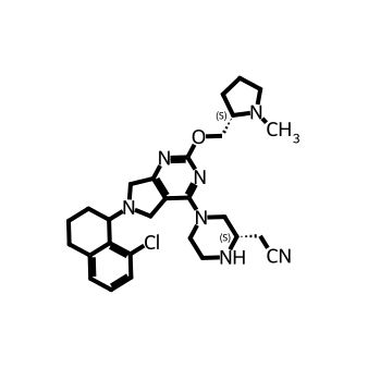 CN1CCC[C@H]1COc1nc2c(c(N3CCN[C@@H](CC#N)C3)n1)CN(C1CCCc3cccc(Cl)c31)C2